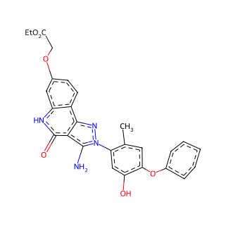 CCOC(=O)COc1ccc2c(c1)[nH]c(=O)c1c(N)n(-c3cc(O)c(Oc4ccccc4)cc3C)nc12